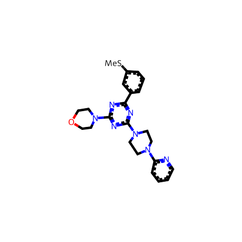 CSc1cccc(-c2nc(N3CCOCC3)nc(N3CCN(c4ccccn4)CC3)n2)c1